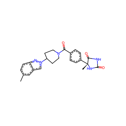 Cc1ccc2nn(C3CCN(C(=O)c4ccc([C@@]5(C)NC(=O)NC5=O)cc4)CC3)cc2c1